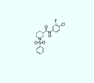 O=C(Nc1ccc(Cl)c(F)c1)C1CCCN(S(=O)(=O)c2ccccc2)C1